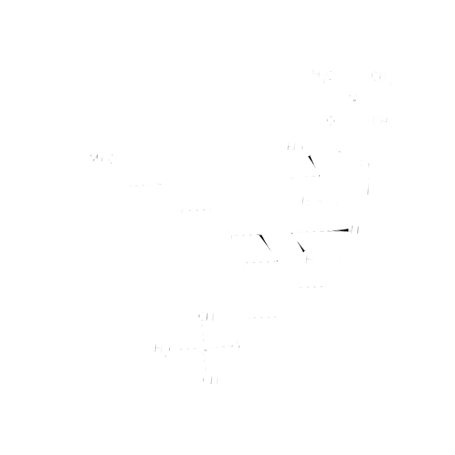 COCCOCOC[C@]12CC=C(O[Si](C)(C)C)C=C1CC[C@@H]1[C@H]2CC[C@]2(C)C(O[Si](C)(C)C)=CC[C@@H]12